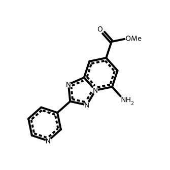 COC(=O)c1cc(N)n2nc(-c3cccnc3)nc2c1